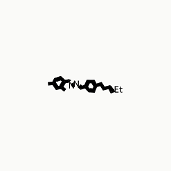 CCC=CCCc1ccc(C=NN=Cc2ccc(C)cc2C)cc1